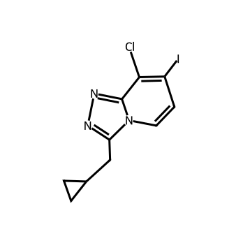 Clc1c(I)ccn2c(CC3CC3)nnc12